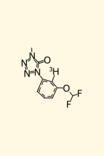 [3H]c1c(OC(F)F)cccc1-n1nnn(C)c1=O